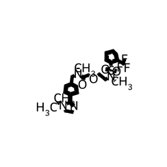 CC(C)N1CCN=C1c1ccc(CN(C)C(=O)COCCN(C)S(=O)(=O)c2ccccc2C(F)(F)F)cc1